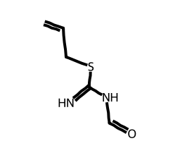 C=CCSC(=N)NC=O